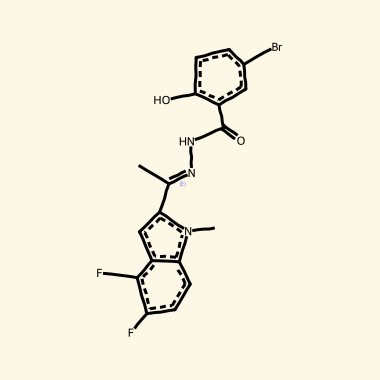 C/C(=N\NC(=O)c1cc(Br)ccc1O)c1cc2c(F)c(F)ccc2n1C